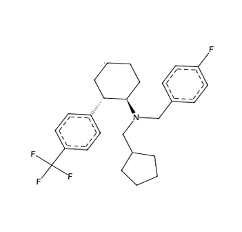 Fc1ccc(CN(CC2CCCC2)[C@@H]2CC[CH]C[C@H]2c2ccc(C(F)(F)F)cc2)cc1